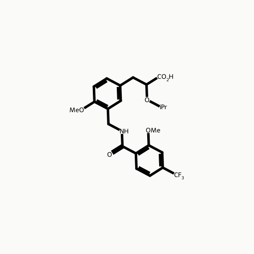 COc1ccc(CC(OC(C)C)C(=O)O)cc1CNC(=O)c1ccc(C(F)(F)F)cc1OC